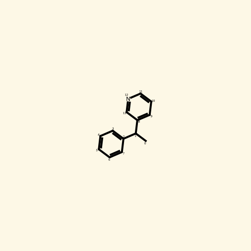 CC(c1c[c]ccc1)c1cccnc1